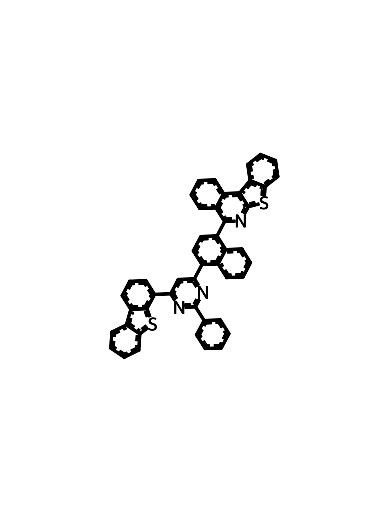 c1ccc(-c2nc(-c3ccc(-c4nc5sc6ccccc6c5c5ccccc45)c4ccccc34)cc(-c3cccc4c3sc3ccccc34)n2)cc1